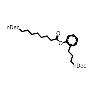 CCCCCCCCCCCCCCCCCC(=O)Oc1ccccc1CCCCCCCCCCCCC